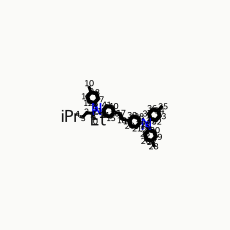 CCC(CCC(C)C)N(c1ccc(C)cc1)c1ccc(C=Cc2ccc(N(c3ccc(C)cc3)c3ccc(C)cc3)cc2)cc1